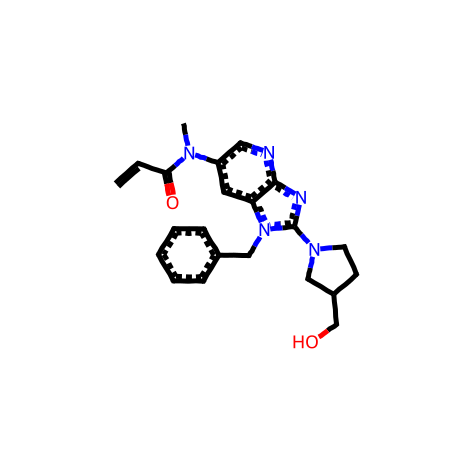 C=CC(=O)N(C)c1cnc2nc(N3CCC(CO)C3)n(Cc3ccccc3)c2c1